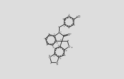 O=C1N(Cc2ccc(Cl)nc2)c2ccccc2C12COc1cc3c(cc12)OCO3